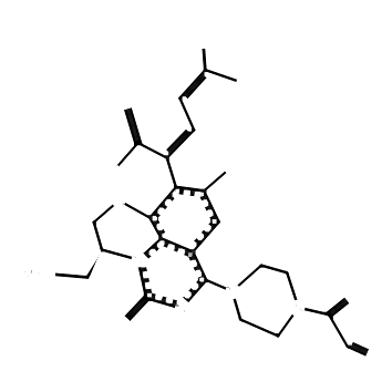 C=CC(=O)N1CCN(c2nc(=O)n3c4c(c(/C(=C/C=C(\C)F)C(=C)F)c(C(F)(F)F)cc24)SC[C@@H]3COC)CC1